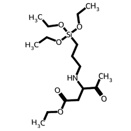 CCOC(=O)CC(NCCC[Si](OCC)(OCC)OCC)C(C)=O